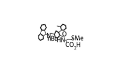 CCCCN(Cc1ccc(C(=O)N[C@@H](CCSC)C(=O)O)c(-c2ccccc2C)c1)C1c2ccccc2-c2ccccc21